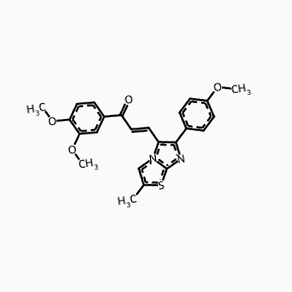 COc1ccc(-c2nc3sc(C)cn3c2C=CC(=O)c2ccc(OC)c(OC)c2)cc1